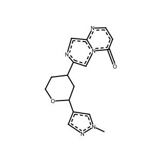 Cn1cc(C2CC(c3cn4c(=O)ccnc4cn3)CCO2)cn1